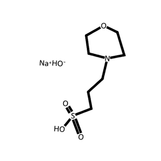 O=S(=O)(O)CCCN1CCOCC1.[Na+].[OH-]